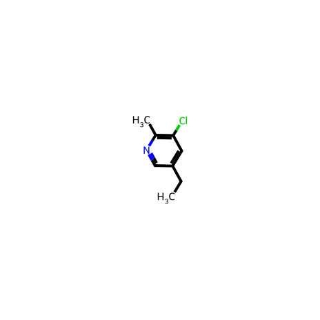 CCc1cnc(C)c(Cl)c1